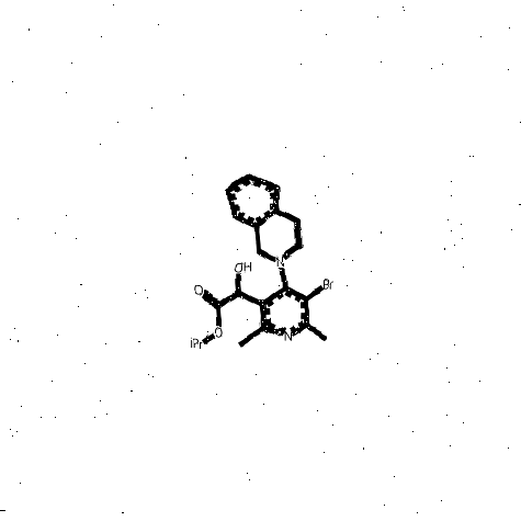 Cc1nc(C)c(C(O)C(=O)OC(C)C)c(N2CCc3ccccc3C2)c1Br